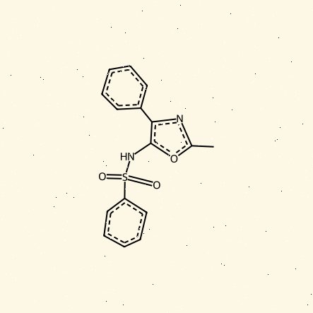 Cc1nc(-c2ccccc2)c(NS(=O)(=O)c2ccccc2)o1